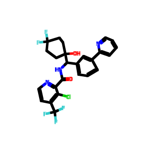 O=C(NC(c1cccc(-c2ccccn2)c1)C1(O)CCC(F)(F)CC1)c1nccc(C(F)(F)F)c1Cl